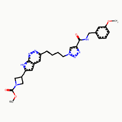 CC(C)(C)OC(=O)N1CC(c2cc3cc(CCCCn4cc(C(=O)NCc5cccc(OC(F)(F)F)c5)nn4)nnc3[nH]2)C1